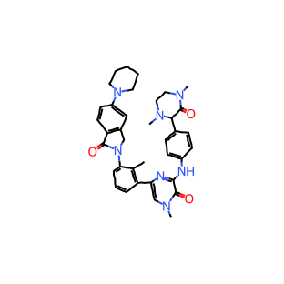 Cc1c(-c2cn(C)c(=O)c(Nc3ccc(C4C(=O)N(C)CCN4C)cc3)n2)cccc1N1Cc2cc(N3CCCCC3)ccc2C1=O